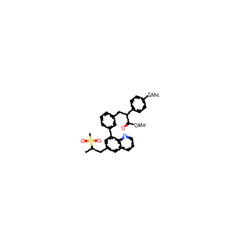 COC(=O)C(Cc1cccc(-c2cc(CC(C)S(C)(=O)=O)cc3cccnc23)c1)c1ccc(SC)cc1